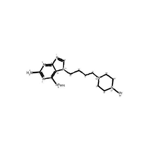 CCCCCc1nc(N)nc2ncn(CCCCN3CCN(C(C)C)CC3)c12